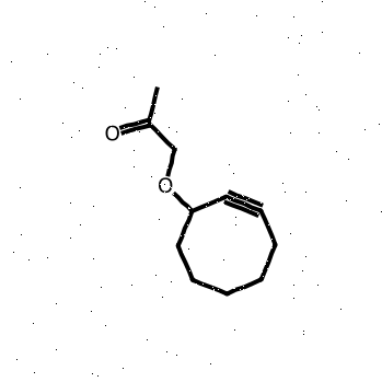 CC(=O)COC1C#CCCCCC1